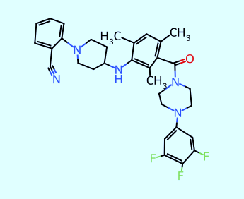 Cc1cc(C)c(C(=O)N2CCN(c3cc(F)c(F)c(F)c3)CC2)c(C)c1NC1CCN(c2ccccc2C#N)CC1